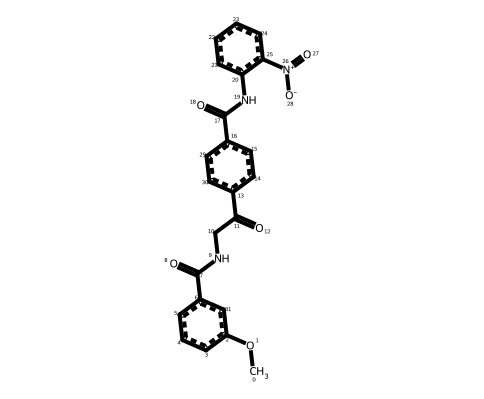 COc1cccc(C(=O)NCC(=O)c2ccc(C(=O)Nc3ccccc3[N+](=O)[O-])cc2)c1